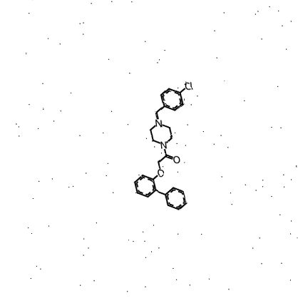 O=C(COc1ccccc1-c1ccccc1)N1CCN(Cc2ccc(Cl)cc2)CC1